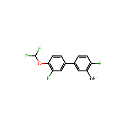 [CH2]CCc1cc(-c2ccc(OC(F)F)c(F)c2)ccc1F